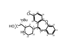 CCCC[C@@H](C(=O)O)C1CN(C2=Nc3ccccc3Oc3ccc(Cl)cc32)CCN1